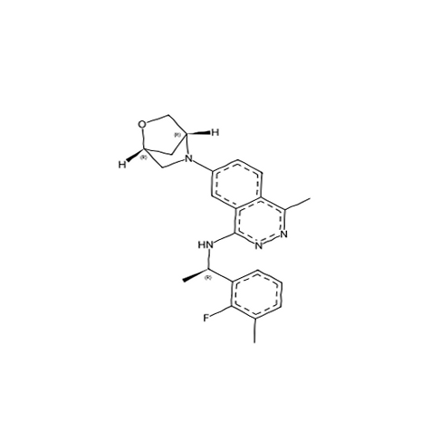 Cc1cccc([C@@H](C)Nc2nnc(C)c3ccc(N4C[C@H]5C[C@@H]4CO5)cc23)c1F